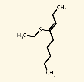 CC/C=C(/CCCCC)SCC